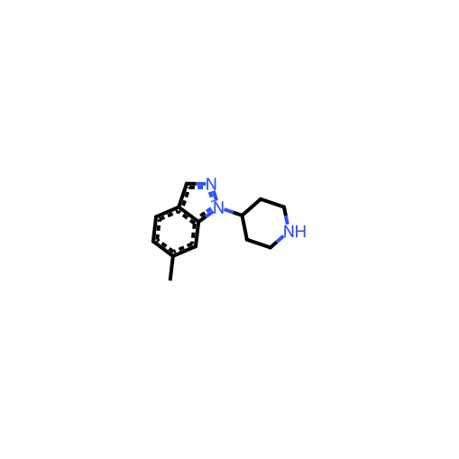 Cc1ccc2cnn(C3CCNCC3)c2c1